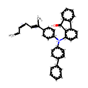 C=C/C=C\C=C(/C)c1ccc(N(c2ccc(-c3ccccc3)cc2)c2cccc3c2C(=O)c2ccccc2-3)cc1